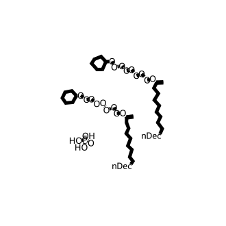 C=C(CCCCCCCCCCCCCCCCCC)OOOOOOOOOC1CCCCC1.C=C(CCCCCCCCCCCCCCCCCC)OOOOOOOOOC1CCCCC1.O=P(O)(O)O